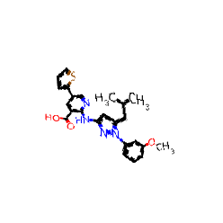 COc1cccc(-n2nc(Nc3ncc(-c4cccs4)cc3C(=O)O)cc2CC(C)C)c1